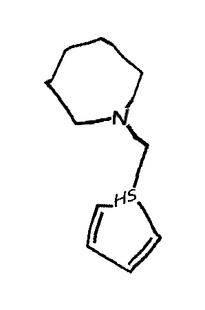 C1=C[SH](CN2CCCCC2)C=C1